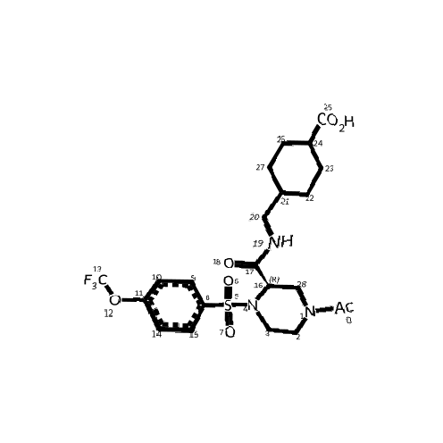 CC(=O)N1CCN(S(=O)(=O)c2ccc(OC(F)(F)F)cc2)[C@@H](C(=O)NCC2CCC(C(=O)O)CC2)C1